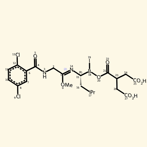 CO/C(CNC(=O)c1cc(Cl)ccc1Cl)=N\[C@@H](CC(C)C)B(I)OC(=O)C(CC(=O)O)CC(=O)O